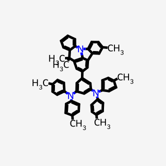 Cc1ccc(N(c2ccc(C)cc2)c2cc(-c3cc4c5c(c3)c3cc(C)ccc3n5-c3ccccc3C4(C)C)cc(N(c3ccc(C)cc3)c3ccc(C)cc3)c2)cc1